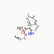 N#CCC(=O)Nc1ccc2ccccc2c1S(=O)(=O)O